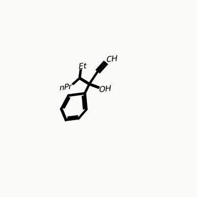 C#CC(O)(c1ccccc1)C(CC)CCC